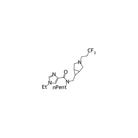 CCCCCN(CC1C2CN(CCC(F)(F)F)CC21)C(=O)c1cn(CC)cn1